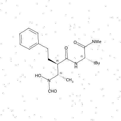 CNC(=O)[C@@H](NC(=O)[C@H](CCc1ccccc1)[C@H](C)N(O)C=O)C(C)(C)C